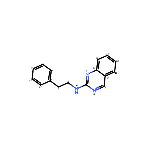 c1ccc(CCNc2ncc3ccccc3n2)cc1